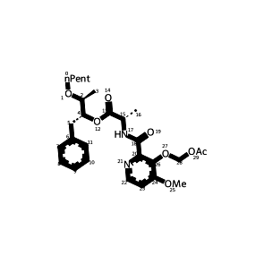 CCCCCO[C@@H](C)[C@@H](Cc1ccccc1)OC(=O)[C@H](C)NC(=O)c1nccc(OC)c1OCOC(C)=O